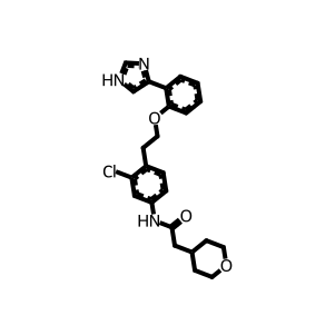 O=C(CC1CCOCC1)Nc1ccc(CCOc2ccccc2-c2c[nH]cn2)c(Cl)c1